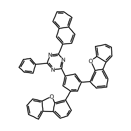 c1ccc(-c2nc(-c3cc(-c4cccc5c4oc4ccccc45)cc(-c4cccc5c4oc4ccccc45)c3)nc(-c3ccc4ccccc4c3)n2)cc1